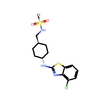 CCS(=O)(=O)NC[C@H]1CC[C@H](Nc2nc3c(Cl)cccc3s2)CC1